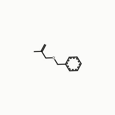 C=C(C)CO[CH]c1ccccc1